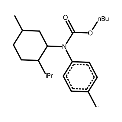 [CH2]c1ccc(N(C(=O)OCCCC)C2CC(C)CCC2C(C)C)cc1